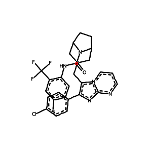 O=C(Nc1ccc(Cl)cc1C(F)(F)F)N1C2CCC1CN(Cc1c(-c3ccc(Cl)cc3)nc3ncccn13)C2